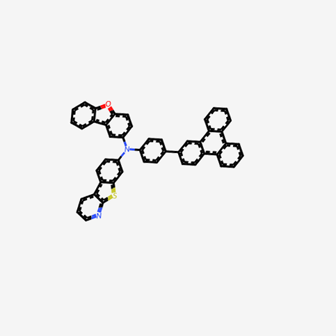 c1ccc2c(c1)oc1ccc(N(c3ccc(-c4ccc5c6ccccc6c6ccccc6c5c4)cc3)c3ccc4c(c3)sc3ncccc34)cc12